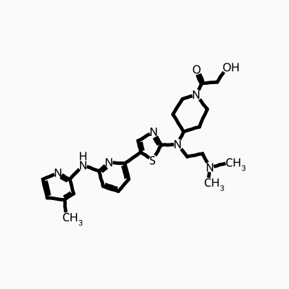 Cc1ccnc(Nc2cccc(-c3cnc(N(CCN(C)C)C4CCN(C(=O)CO)CC4)s3)n2)c1